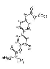 CCCCCCCCOC(=O)Oc1cnc(-c2ccc(OC(=O)C(C)CCCCCC)c(F)c2)nc1